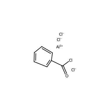 O=C(Cl)c1ccccc1.[Al+3].[Cl-].[Cl-].[Cl-]